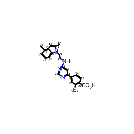 CCc1cc(-c2cc(NCCn3c(C)cc4c(C)cccc43)ncn2)ccc1C(=O)O